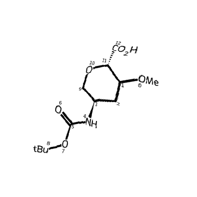 COC1C[C@@H](NC(=O)OC(C)(C)C)CO[C@@H]1C(=O)O